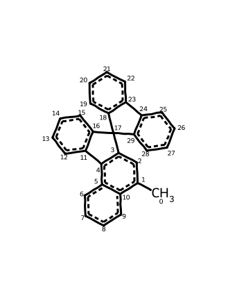 Cc1cc2c(c3ccccc13)-c1ccccc1C21c2ccccc2-c2ccccc21